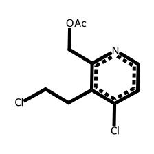 CC(=O)OCc1nccc(Cl)c1CCCl